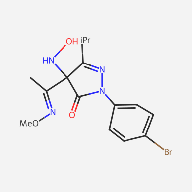 CON=C(C)C1(NO)C(=O)N(c2ccc(Br)cc2)N=C1C(C)C